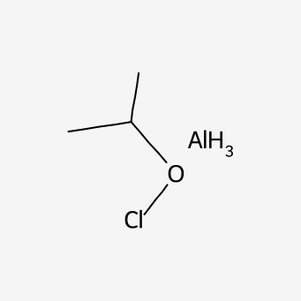 CC(C)OCl.[AlH3]